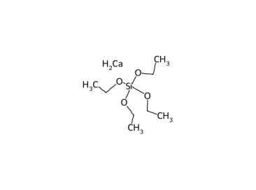 CCO[Si](OCC)(OCC)OCC.[CaH2]